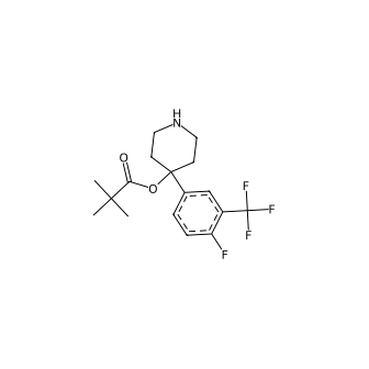 CC(C)(C)C(=O)OC1(c2ccc(F)c(C(F)(F)F)c2)CCNCC1